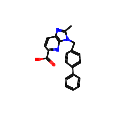 Cc1nc2ccc(C(=O)O)nc2n1Cc1ccc(-c2ccccc2)cc1